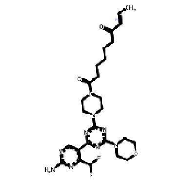 C/C=C/C(=O)CCCCCC(=O)N1CCN(c2nc(-c3cnc(N)nc3C(F)F)nc(N3CCOCC3)n2)CC1